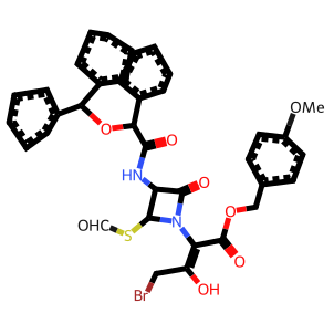 COc1ccc(COC(=O)C(=C(O)CBr)N2C(=O)C(NC(=O)C(OC(c3ccccc3)c3ccccc3)c3ccccc3)C2SC=O)cc1